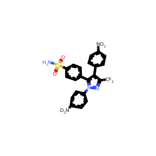 NS(=O)(=O)c1ccc(-c2c(-c3ccc([N+](=O)[O-])cc3)c(C(F)(F)F)nn2-c2ccc([N+](=O)[O-])cc2)cc1